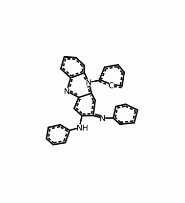 c1ccc(N=c2cc3n(-c4ccccc4)c4ccccc4nc-3cc2Nc2ccccc2)cc1